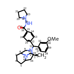 C=CCN1C2CCCC1CN(C(c1ccc(C(=O)NN3CCCC3)cc1)c1cccc(OC)c1)CC2